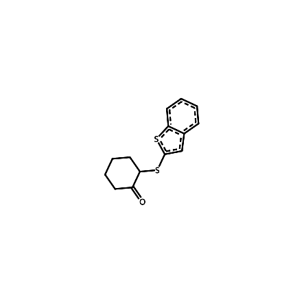 O=C1CCCCC1Sc1cc2ccccc2s1